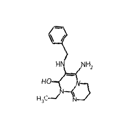 CCN1C2=NCCCN2C(N)=C(NCc2ccccc2)C1O